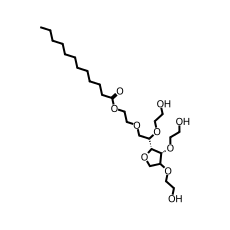 CCCCCCCCCCCC(=O)OCCOCC(OCCO)[C@H]1OCC(OCCO)[C@H]1OCCO